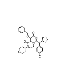 O=C1c2c(OCc3ccccc3)c(=O)nc(C(c3ccc(Cl)cc3)C3CCCC3)n2CCN1C1CCOCC1